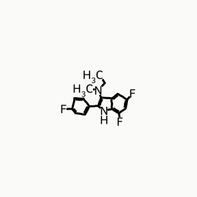 CCN(C)c1c(-c2ccc(F)cc2)[nH]c2c(F)cc(F)cc12